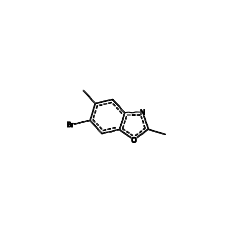 Cc1nc2cc(C)c(Br)cc2o1